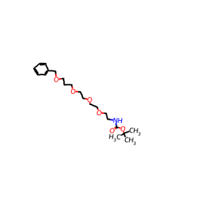 CC(C)(C)OC(=O)NCCOCCOCCOCCCOCc1ccccc1